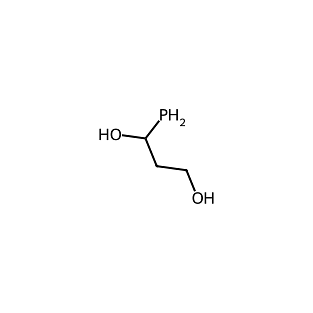 OCCC(O)P